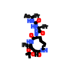 CC(=O)[C@@H](NC(=O)N[C@H](C(=O)N[C@H]1/C=C/CCNC(=O)[C@H]2OC(C)(C)O[C@@H]2[C@H](C(C)C)NC1=O)C(C)C)C(C)C